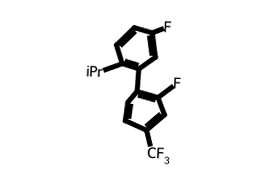 CC(C)c1ccc(F)cc1-c1ccc(C(F)(F)F)cc1F